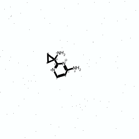 Nc1ccnc(C2(N)CC2)n1